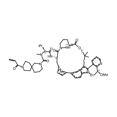 C=CC(=O)N1CCC2(CCCN(C(=O)N(C)[C@H](C(=O)N[C@H]3Cc4nc(cs4)-c4ccc5c(c4)c(c(-c4cccnc4[C@H](C)OC)n5CC)CC(C)(C)COC(=O)[C@@H]4CCCN(N4)C3=O)C(C)C)C2)CC1